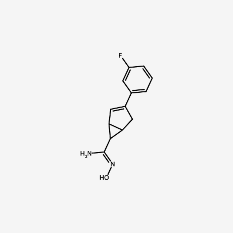 N/C(=N\O)C1C2C=C(c3cccc(F)c3)CC21